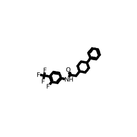 O=C(CC1CCC(c2ccccc2)CC1)Nc1ccc(C(F)(F)F)c(F)c1